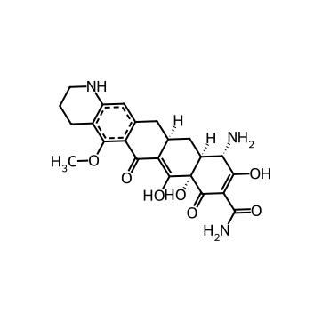 COc1c2c(cc3c1C(=O)C1=C(O)[C@]4(O)C(=O)C(C(N)=O)=C(O)[C@@H](N)[C@@H]4C[C@@H]1C3)NCCC2